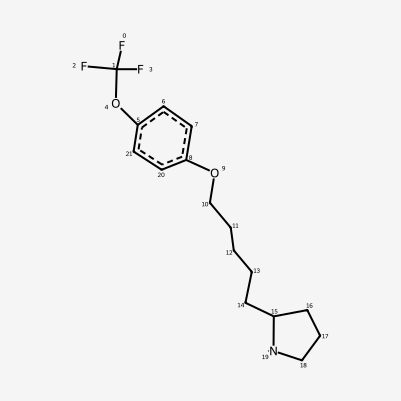 FC(F)(F)Oc1ccc(OCCCCCC2CCC[N]2)cc1